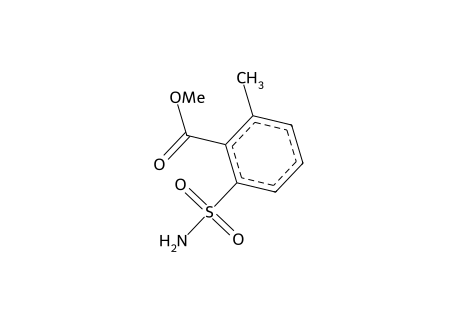 COC(=O)c1c(C)cccc1S(N)(=O)=O